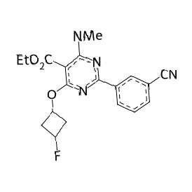 CCOC(=O)c1c(NC)nc(-c2cccc(C#N)c2)nc1OC1CC(F)C1